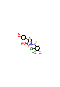 COc1ccc(-c2scc(NC(=O)c3c(Cl)cc(Cl)c(OC)c3Cl)c2C(=O)O)cc1